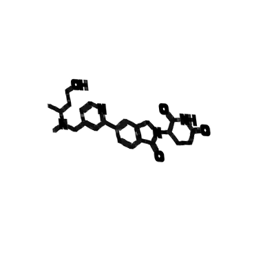 CC(CCO)N(C)Cc1ccnc(-c2ccc3c(c2)CN(C2CCC(=O)NC2=O)C3=O)c1